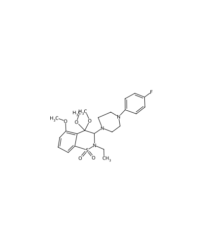 CCN1C(N2CCN(c3ccc(F)cc3)CC2)C(OC)(OC)c2c(OC)cccc2S1(=O)=O